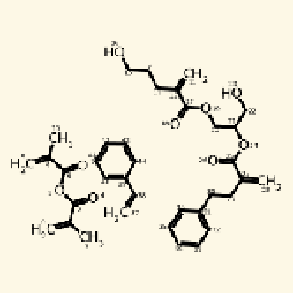 C=C(C)C(=O)OC(=O)C(=C)C.C=C(CCCO)C(=O)OCC(CO)OC(=O)C(=C)CCc1ccccc1.C=Cc1ccccc1